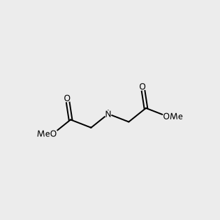 COC(=O)C[N]CC(=O)OC